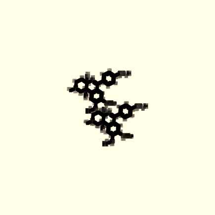 CCOc1cc2c(cc1OC)C(c1ccc(C(=O)O)cc1)=N[C@@H]1CCN(C)C[C@H]21.CCOc1cc2c(cc1OC)C(c1ccc(C(=O)O)cc1)=N[C@@H]1CCN(C)C[C@H]21